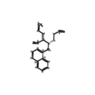 C=C/C=C(\SC)[C@H](CCNC)Oc1cccc2ccccc12